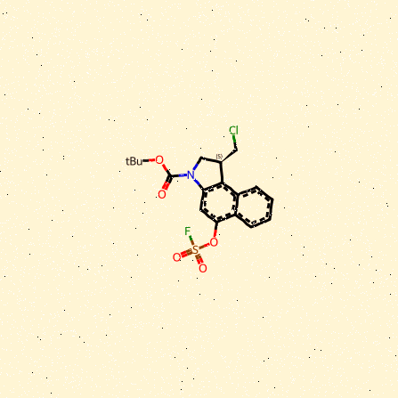 CC(C)(C)OC(=O)N1C[C@@H](CCl)c2c1cc(OS(=O)(=O)F)c1ccccc21